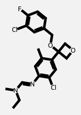 CCN(C)C=Nc1cc(C)c(C2(OCc3ccc(F)c(Cl)c3)COC2)cc1Cl